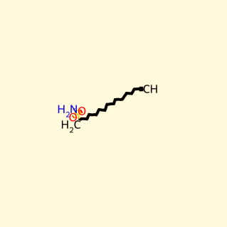 C#CCCCCCCCCCCCCC(=C)S(N)(=O)=O